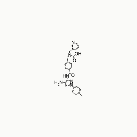 Cc1ccc(-n2cc(N)c(NC(=O)c3ccc(CN(Cc4cccnc4)C(=O)O)cc3)n2)cc1